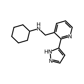 c1cnc(-c2ccn[nH]2)c(CNC2CCCCC2)c1